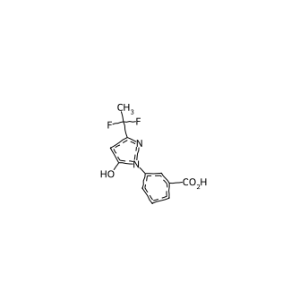 CC(F)(F)c1cc(O)n(-c2cccc(C(=O)O)c2)n1